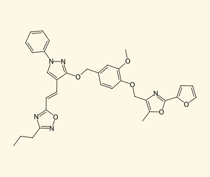 CCCc1noc(C=Cc2cn(-c3ccccc3)nc2OCc2ccc(OCc3nc(-c4ccco4)oc3C)c(OC)c2)n1